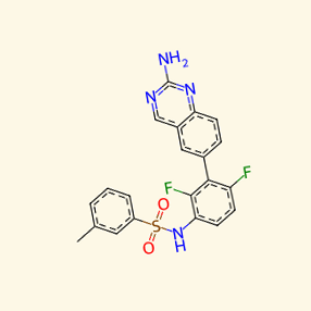 Cc1cccc(S(=O)(=O)Nc2ccc(F)c(-c3ccc4nc(N)ncc4c3)c2F)c1